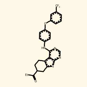 CCC(=O)C1CCc2c(sc3ncnc(Nc4ccc(Oc5cccc(C(F)(F)F)c5)cc4)c23)C1